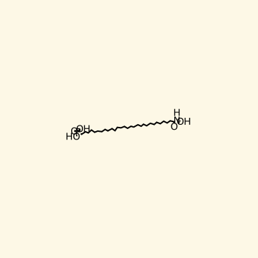 O=C(CCCCCCCCCCCCCCCCCCCCCCCCCCCCP(=O)(O)O)NO